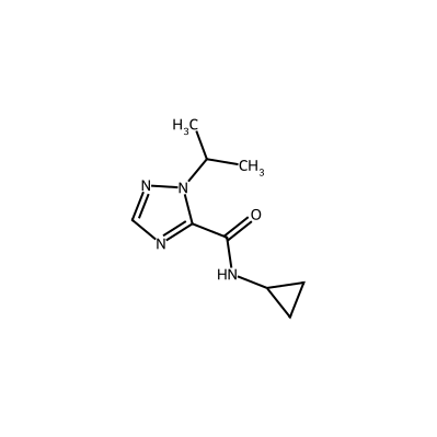 CC(C)n1ncnc1C(=O)NC1CC1